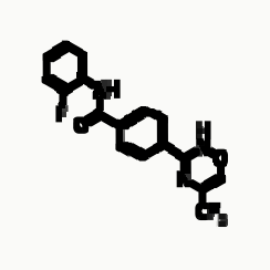 O=C(Nc1ccccc1F)c1ccc(C2=NC(C(F)(F)F)=CON2)cc1